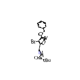 CC(C)(C)[S@+]([O-])/N=C/c1onc(OCc2ccccc2)c1Br